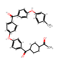 CC(=O)C1CCC(C(=O)c2ccc(Oc3ccc(C(=O)c4ccc(Oc5ccc(C)cc5)cc4)cc3)cc2)CC1